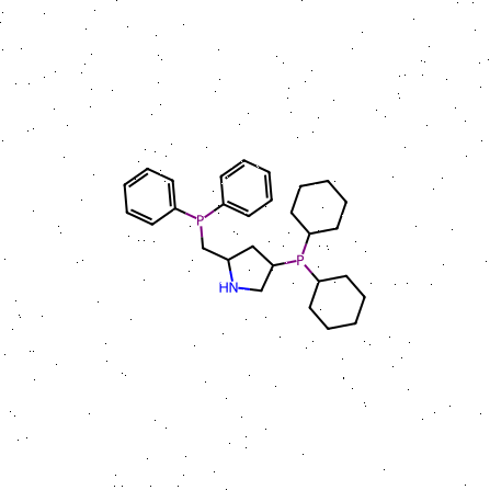 c1ccc(P(CC2CC(P(C3CCCCC3)C3CCCCC3)CN2)c2ccccc2)cc1